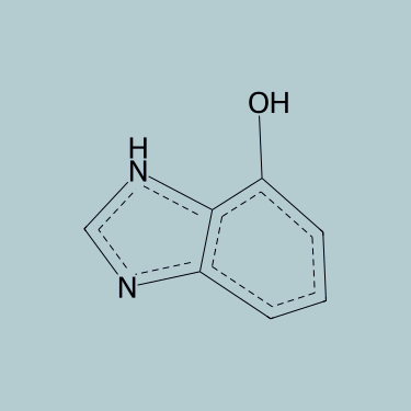 Oc1cccc2nc[nH]c12